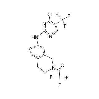 O=C(N1CCc2ccc(Nc3ncc(C(F)(F)F)c(Cl)n3)cc2C1)C(F)(F)F